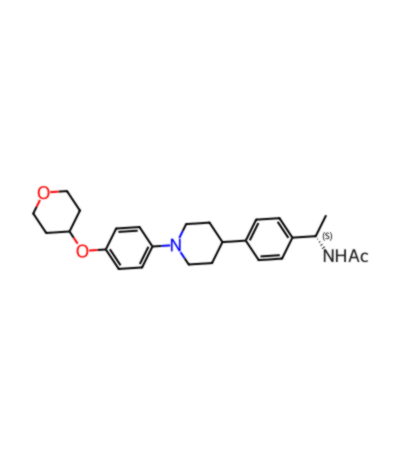 CC(=O)N[C@@H](C)c1ccc(C2CCN(c3ccc(OC4CCOCC4)cc3)CC2)cc1